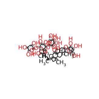 CC[C@@]12CCC([C@H](C)CC[C@@H](O[C@@H]3O[C@H](CO[C@H]4O[C@H](CO)[C@@H](O)C[C@H]4O)[C@@H](O)[C@H](O)[C@H]3O[C@@H]3O[C@H](CO)[C@@H](O)[C@H](O)[C@H]3O)C(C)(C)O)[C@@]1(C)C[C@@H](O)[C@@]1(C)C3CC[C@H](O[C@@H]4O[C@H](CO)C[C@H](O)[C@H]4O)C(C)(C)C3=CCC12